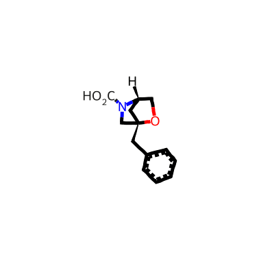 O=C(O)N1C[C@]2(Cc3ccccc3)C[C@H]1CO2